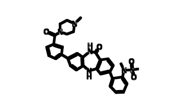 CN1CCN(C(=O)c2cccc(-c3ccc4c(c3)NC(=O)c3ccc(-c5ccccc5N(C)S(C)(=O)=O)cc3N4)c2)CC1